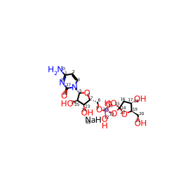 Nc1ccn([C@@H]2O[C@H](COP(=O)(O)O[C@]3(O)C[C@H](O)[C@@H](CO)O3)[C@@H](O)[C@H]2O)c(=O)n1.[NaH]